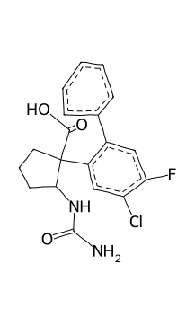 NC(=O)NC1CCCC1(C(=O)O)c1cc(Cl)c(F)cc1-c1ccccc1